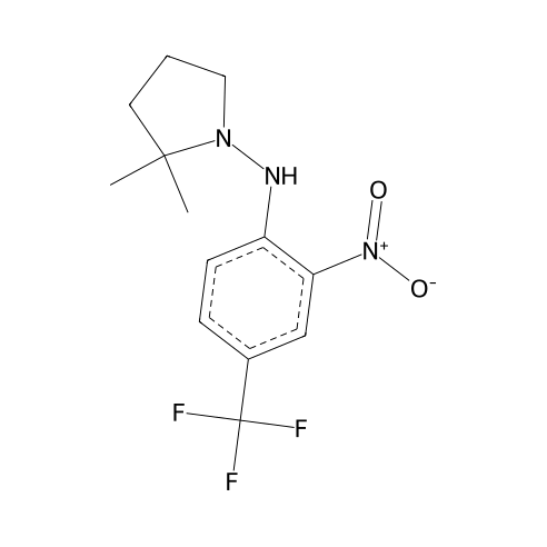 CC1(C)CCCN1Nc1ccc(C(F)(F)F)cc1[N+](=O)[O-]